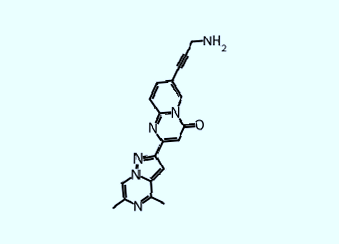 Cc1cn2nc(-c3cc(=O)n4cc(C#CCN)ccc4n3)cc2c(C)n1